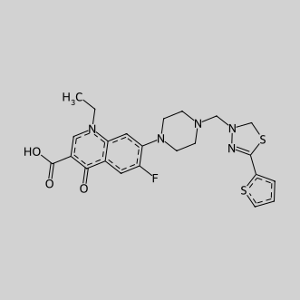 CCn1cc(C(=O)O)c(=O)c2cc(F)c(N3CCN(CN4CSC(c5cccs5)=N4)CC3)cc21